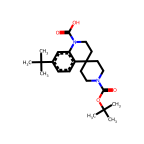 CC(C)(C)OC(=O)N1CCC2(CC1)CCN(C(=O)O)c1cc(C(C)(C)C)ccc12